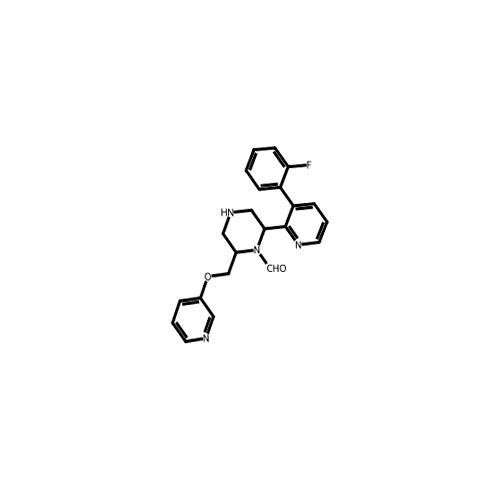 O=CN1C(COc2cccnc2)CNCC1c1ncccc1-c1ccccc1F